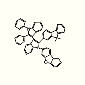 CC1(C)c2ccccc2-c2ccc(-c3c(-c4c(-c5ccccc5)n(-c5ccccc5)c5ccccc45)c4ccccc4n3-c3ccc4c(c3)oc3ccccc34)cc21